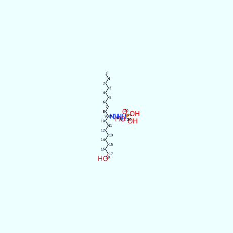 CCCCCCCCCCCCCCCCCCO.N.N.N.O=P(O)(O)O